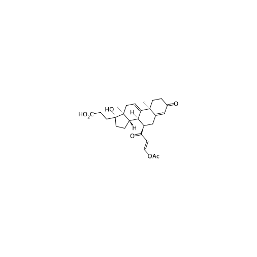 CC(=O)O/C=C/C(=O)[C@@H]1CC2=CC(=O)CC[C@]2(C)C2=CC[C@@]3(C)[C@@H](CC[C@@]3(O)CCC(=O)O)[C@@H]21